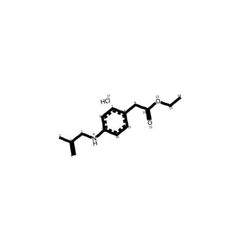 C=C(C)CNc1ccc(CC(=O)OCC)cc1.Cl